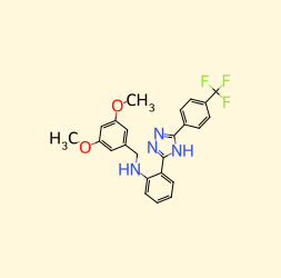 COc1cc(CNc2ccccc2-c2nnc(-c3ccc(C(F)(F)F)cc3)[nH]2)cc(OC)c1